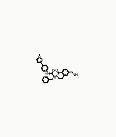 Cn1ccc(-c2ccc(NC(=O)[C@H](Cc3ccccc3)N3CCc4cc(CN)ccc4C3=O)cc2)n1